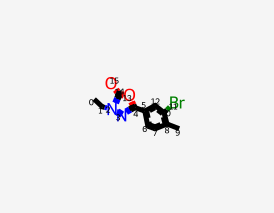 CCn1nc(-c2ccc(C)c(Br)c2)oc1=O